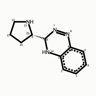 c1ccc2c(c1)N=NC([C@@H]1CCCN1)N2